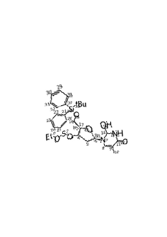 CCOSOC1C[C@H](N2C=C(C)C(=O)NC2O)O[C@@H]1CO[Si](c1ccccc1)(c1ccccc1)C(C)(C)C